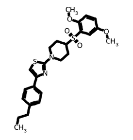 CCCc1ccc(-c2csc(N3CCC(S(=O)(=O)c4cc(OC)ccc4OC)CC3)n2)cc1